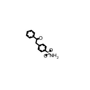 NS(=O)(=O)c1ccc(CC(=O)c2ccccc2)cc1